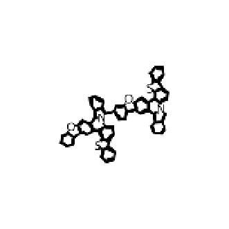 c1ccc2c(c1)cn1c3ccc4c5ccccc5sc4c3c3cc4oc5cc(-c6c7ccccc7c7c8cc9oc%10ccccc%10c9cc8c8c9sc%10ccccc%10c9ccc8n67)ccc5c4cc3c21